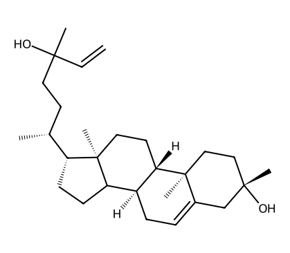 C=CC(C)(O)CC[C@@H](C)[C@H]1CCC2[C@@H]3CC=C4C[C@@](C)(O)CC[C@]4(C)[C@H]3CC[C@@]21C